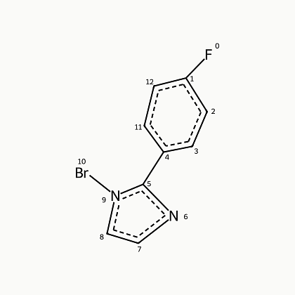 Fc1ccc(-c2nccn2Br)cc1